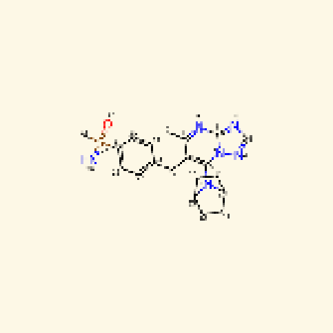 Cc1nc2ncnn2c(N2C3CCC2CC3)c1Cc1ccc(S(C)(=N)=O)cc1